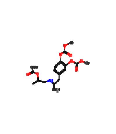 COC(=O)OC(C)CN[C@@H](Cc1ccc(OC(=O)OC(C)C)c(OC(=O)OC(C)C)c1)C(=O)O